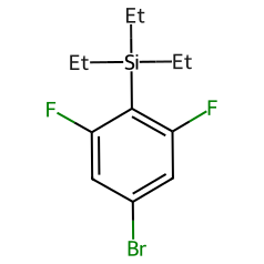 CC[Si](CC)(CC)c1c(F)cc(Br)cc1F